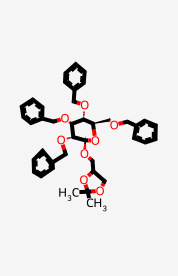 CC1(C)OCC(CO[C@@H]2O[C@H](COCc3ccccc3)[C@@H](OCc3ccccc3)[C@H](OCc3ccccc3)[C@H]2OCc2ccccc2)O1